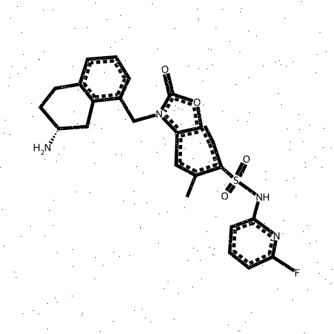 Cc1cc2c(cc1S(=O)(=O)Nc1cccc(F)n1)oc(=O)n2Cc1cccc2c1C[C@H](N)CC2